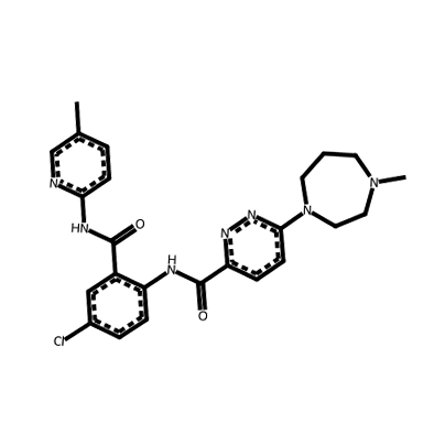 Cc1ccc(NC(=O)c2cc(Cl)ccc2NC(=O)c2ccc(N3CCCN(C)CC3)nn2)nc1